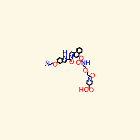 CN(C)CCOc1ccc2[nH]c(C(=O)N3CCc4c3cc(OC(=O)NCCOCCC(=O)N3CCC(C(=O)O)CC3)c3ccccc43)cc2c1